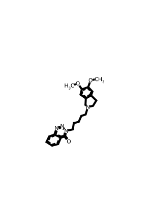 COc1cc2c(cc1OC)CN(CCCCCn1nnc3ccccc3c1=O)CC2